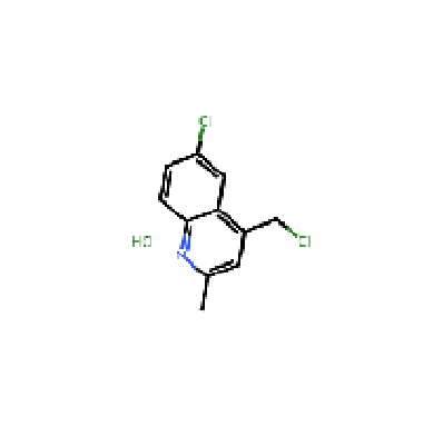 Cc1cc(CCl)c2cc(Cl)ccc2n1.Cl